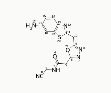 N#CCNC(=O)Cc1nnc(Cc2nc3ccc(N)cc3s2)o1